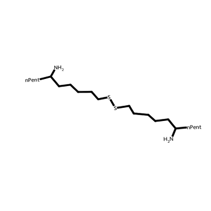 CCCCCC(N)CCCCCSSCCCCCC(N)CCCCC